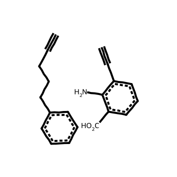 C#CCCCc1ccccc1.C#Cc1cccc(C(=O)O)c1N